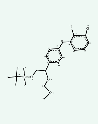 COCOC(CO[Si](C)(C)C(C)(C)C)c1ccc(Cc2cccc(Cl)c2F)cn1